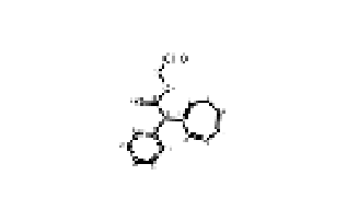 O=CCOC(=O)C(C1=CCC=CC=C1)c1ccccc1